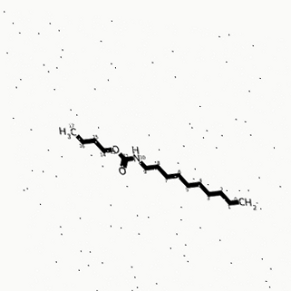 [CH2]CCCCCCCCCNC(=O)OCCCC